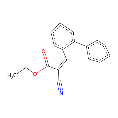 CCOC(=O)C(C#N)=Cc1ccccc1-c1ccccc1